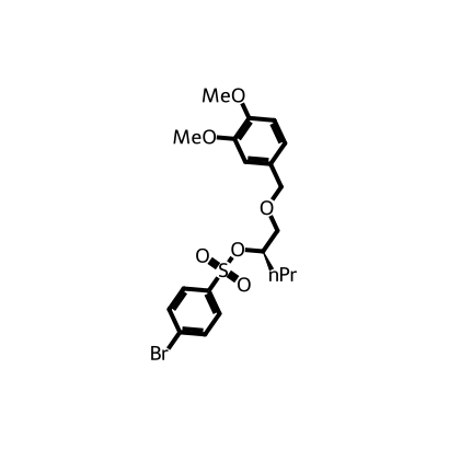 CCC[C@H](COCc1ccc(OC)c(OC)c1)OS(=O)(=O)c1ccc(Br)cc1